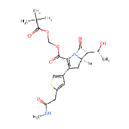 CNC(=O)Cc1cc(C2=C(C(=O)OCOC(=O)C(C)(C)C)N3C(=O)[C@H]([C@@H](C)O)[C@H]3C2)cs1